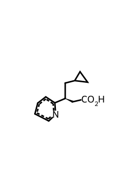 O=C(O)C[C@H](CC1CC1)c1ccccn1